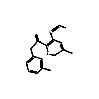 C=C(Cc1cccc(C)c1)C1=C(/N=C\C)C=C(C)CN1